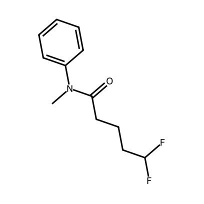 CN(C(=O)CCCC(F)F)c1ccccc1